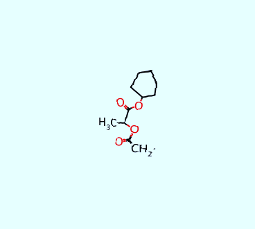 [CH2]C(=O)OC(C)C(=O)OC1CCCCC1